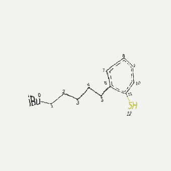 CCC(C)CCCCCc1ccccc1S